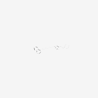 FC(F)(F)c1ccc2c(SCCCCCCn3cc(CNC4CCCOC4)nn3)ccnc2c1